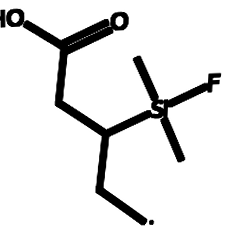 [CH2]CC(CC(=O)O)[Si](C)(C)F